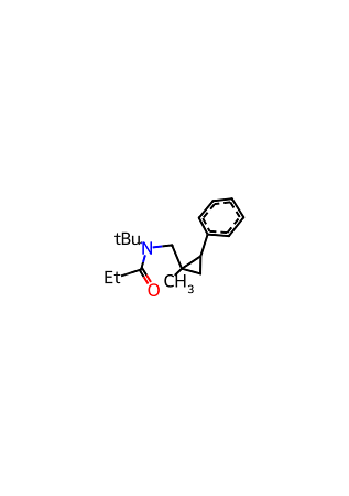 CCC(=O)N(CC1(C)CC1c1ccccc1)C(C)(C)C